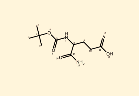 CC(C)(C)OC(=O)NC(CCC(O)=S)C(N)=O